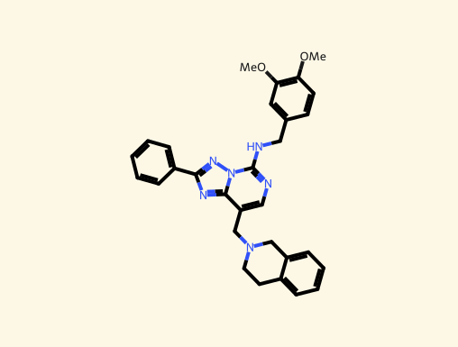 COc1ccc(CNc2ncc(CN3CCc4ccccc4C3)c3nc(-c4ccccc4)nn23)cc1OC